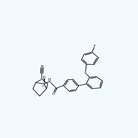 N#CN1CC2CCC1[C@@H]2NC(=O)c1ccc(-c2ccccc2Sc2ccc(F)cc2)cc1